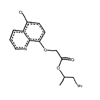 CC(C)CC(C)OC(=O)COc1ccc(Cl)c2cccnc12